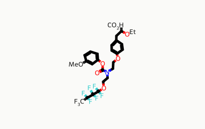 CCOC(Cc1ccc(OCCN(CCOC(F)(F)C(F)(F)C(F)(F)C(F)(F)F)C(=O)Oc2cccc(OC)c2)cc1)C(=O)O